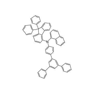 c1ccc(-c2cc(-c3ccccc3)cc(-c3ccc(N(c4cccc5c4-c4ccccc4C5(c4ccccc4)c4ccccc4)c4cccc5ccccc45)cc3)c2)cc1